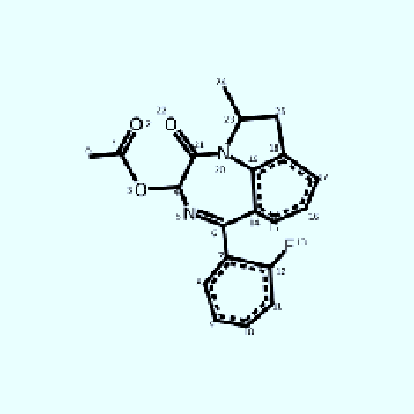 CC(=O)OC1N=C(c2ccccc2F)c2cccc3c2N(C1=O)C(C)C3